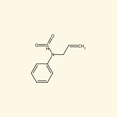 C=CCN(c1ccccc1)[SH](=O)=O